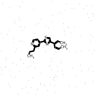 C/C=C\C(=C/C)c1csc(-c2ccnc(CCC)c2)n1